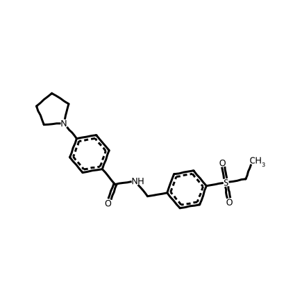 CCS(=O)(=O)c1ccc(CNC(=O)c2ccc(N3CCCC3)cc2)cc1